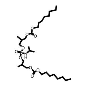 CCCCCCCCOC(=O)OCC(C)COP(=O)(NC(C)C)OCC(C)COC(=O)OCCCCCCCC